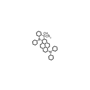 CC1(C)c2ccccc2B(c2ccccc2)c2c1cc1ccc3c(N(c4ccccc4)c4ccccc4)ccc4ccc2c1c43